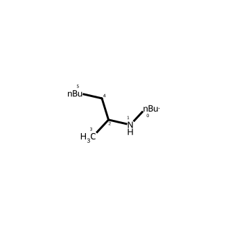 [CH2]CC[CH]NC(C)CCCCC